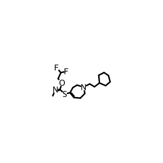 C/N=C(/OCC(F)F)SC1=CCCN(CCC2CCCCC2)CC1